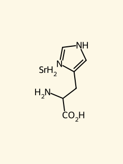 NC(Cc1c[nH]cn1)C(=O)O.[SrH2]